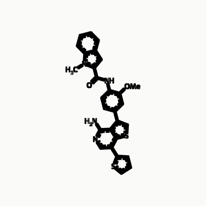 COc1cc(-c2csc3c(-c4cccs4)cnc(N)c23)ccc1NC(=O)c1cc2ccccc2n1C